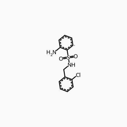 Nc1ccc[c]c1S(=O)(=O)NCc1ccccc1Cl